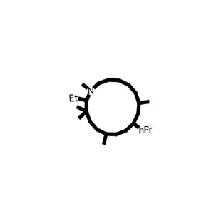 CCCC1CCC(C)CCC(C)(C)C(CC)N(C)CCCCCC(C)C1